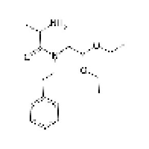 CCOC(CN(CCc1ccccc1)C(=O)C(C)N)OCC